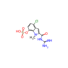 Cn1c(C(=O)NC(=N)N)cc2c(Cl)ccc(OS(=O)(=O)O)c21